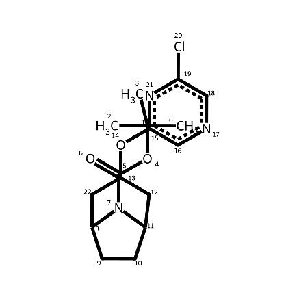 CC(C)(C)OC(=O)N1C2CCC1CC(Oc1cncc(Cl)n1)C2